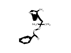 Cc1cscc1CC(C)(C)OOC(=O)c1ccccc1